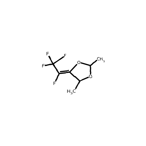 CC1OC(=C(F)C(F)(F)F)C(C)O1